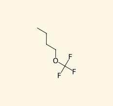 CCCCOC(F)(F)F